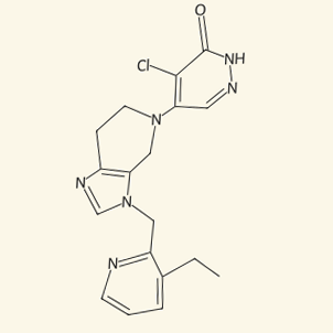 CCc1cccnc1Cn1cnc2c1CN(c1cn[nH]c(=O)c1Cl)CC2